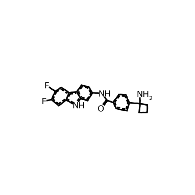 NC1(c2ccc(C(=O)Nc3ccc4c(c3)[nH]c3cc(F)c(F)cc34)cc2)CCC1